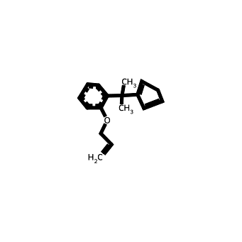 C=CCOc1ccccc1C(C)(C)C1=CCC=C1